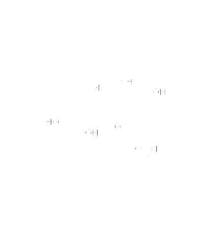 CC1C(O)C=C(C(=O)O)OC1C(O)C(O)CO